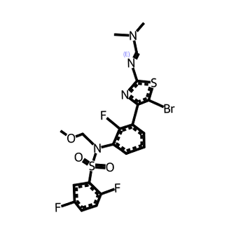 COCN(c1cccc(-c2nc(/N=C/N(C)C)sc2Br)c1F)S(=O)(=O)c1cc(F)ccc1F